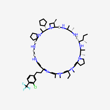 CCC1=CN(C)C(C)=CN=C(CCc2ccc(C(F)(F)F)c(Cl)c2)C=CNCCNCC2(CCCC2)NC(C)[C@H](C2CCCC2)N2C[C@@H](C)C2CNC(C)[C@H](C)NC[C@H]([C@@H](C)CC)NC(C)[C@H](C)N2CCCC2=CN1C